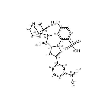 Cc1ccc(S(=O)(=O)O)c(N2C=C(c3cccc([N+](=O)[O-])c3)OC2C(=O)N[C@H]2CN3CCC2CC3)c1